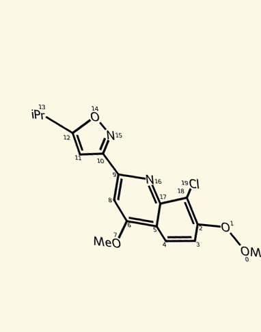 COOc1ccc2c(OC)cc(-c3cc(C(C)C)on3)nc2c1Cl